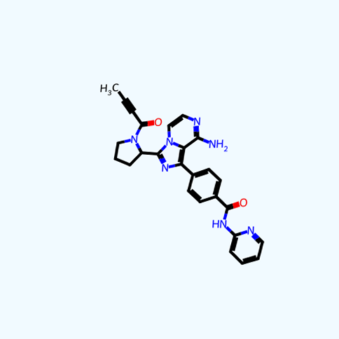 CC#CC(=O)N1CCCC1c1nc(-c2ccc(C(=O)Nc3ccccn3)cc2)c2c(N)nccn12